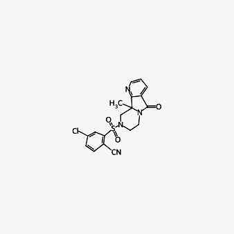 CC12CN(S(=O)(=O)c3cc(Cl)ccc3C#N)CCN1C(=O)c1cccnc12